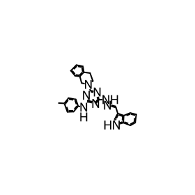 Cc1ccc(Nc2nc(N/N=C/c3c[nH]c4ccccc34)nc(N3CCc4ccccc4C3)n2)cc1